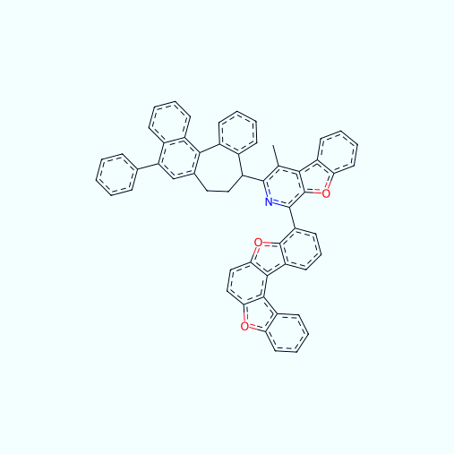 Cc1c(C2CCc3cc(-c4ccccc4)c4ccccc4c3-c3ccccc32)nc(-c2cccc3c2oc2ccc4oc5ccccc5c4c23)c2oc3ccccc3c12